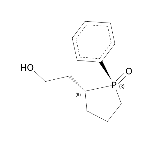 O=[P@]1(c2ccccc2)CCC[C@@H]1CCO